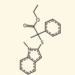 CCOC(=O)C(C)(Sc1cc2ccccc2n1C)c1ccccc1